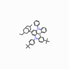 CCC1CC2CC(C)CC(c3cc4c5c(c3)N(c3ccc(C(C)(C)C)cc3)c3ccc(C(C)(C)C)cc3B5c3ccccc3N4c3ccccc3)(C1)C2